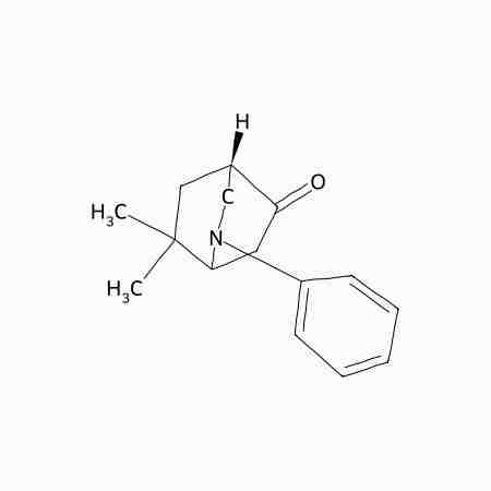 CC1(C)C[C@H]2CN(c3ccccc3)C1CC2=O